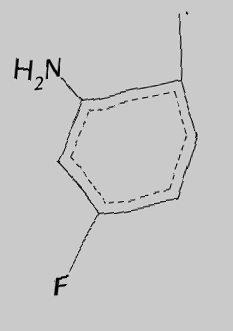 [CH2]c1ccc(F)cc1N